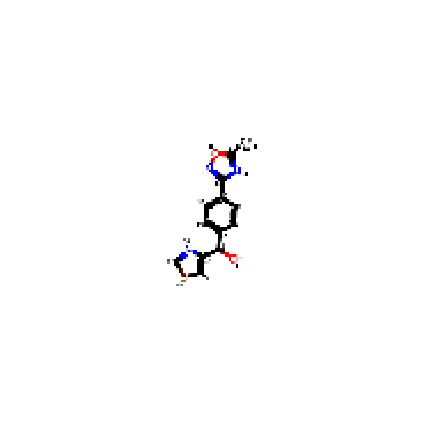 OC(c1ccc(-c2noc(C(F)(F)F)n2)cc1)c1cscn1